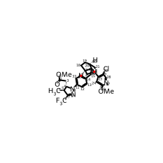 COC(=O)C[C@H]1[C@H](C)C(C(F)(F)F)=NN1c1ccc(C[C@H]2[C@@H]3CC[C@H]2CN(c2cc(OC)ncc2Cl)C3)cc1